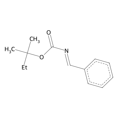 CCC(C)(C)OC(=O)N=Cc1ccccc1